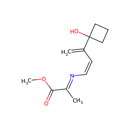 C=C(/C=C\N=C(/C)C(=O)OC)C1(O)CCC1